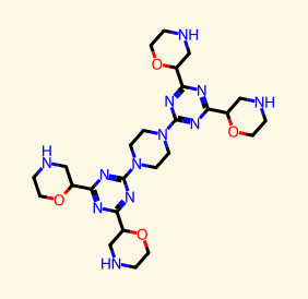 C1COC(c2nc(C3CNCCO3)nc(N3CCN(c4nc(C5CNCCO5)nc(C5CNCCO5)n4)CC3)n2)CN1